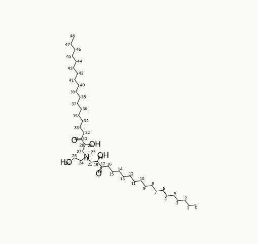 CCCCCCCCCCCCCCCCCC(=O)C(O)C[N+](C)(CCO)CC(O)C(=O)CCCCCCCCCCCCCCCCC